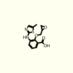 Cc1cnc(Nc2cccc(C(=O)O)c2OCC2CO2)s1